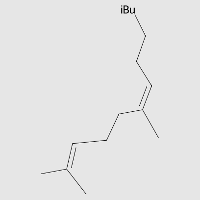 [CH2]CC(C)CC/C=C(/C)CCC=C(C)C